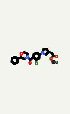 CC(C)(C)OC(=O)CC1CCN(c2ccc(C(=O)N3CCOC(c4ccccc4)C3)c(Cl)c2)C1